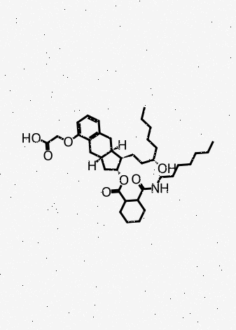 CCCCCCCNC(=O)C1CCCCC1C(=O)O[C@@H]1C[C@@H]2Cc3c(cccc3OCC(=O)O)C[C@@H]2[C@H]1CC[C@@H](O)CCCCC